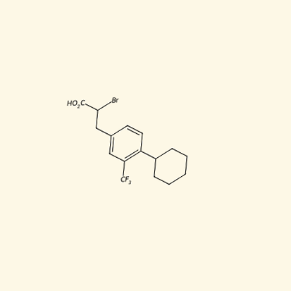 O=C(O)C(Br)Cc1ccc(C2CCCCC2)c(C(F)(F)F)c1